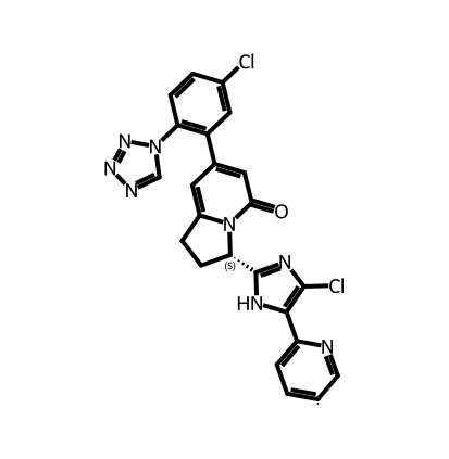 O=c1cc(-c2cc(Cl)ccc2-n2cnnn2)cc2n1[C@H](c1nc(Cl)c(-c3cc[c]cn3)[nH]1)CC2